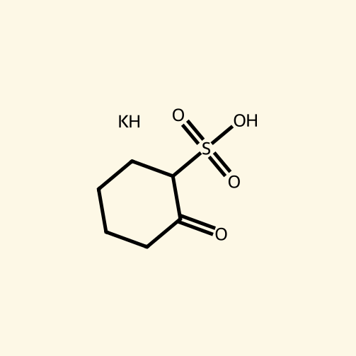 O=C1CCCCC1S(=O)(=O)O.[KH]